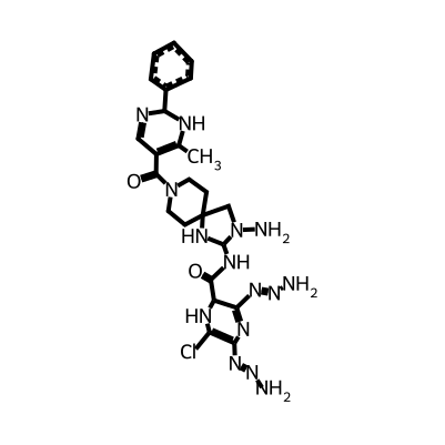 CC1=C(C(=O)N2CCC3(CC2)CN(N)C(NC(=O)C2NC(Cl)=C(N=NN)N=C2N=NN)N3)C=NC(c2ccccc2)N1